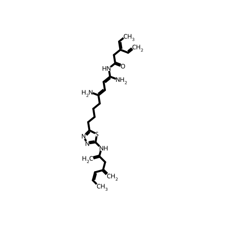 C=C/C(=C\C)CC(=O)N/C(N)=C/C=C(\N)CCCCc1nnc(NC(=C)CC(=C)/C=C\C)s1